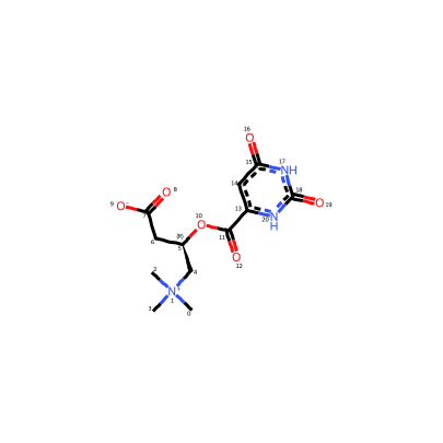 C[N+](C)(C)C[C@@H](CC(=O)[O-])OC(=O)c1cc(=O)[nH]c(=O)[nH]1